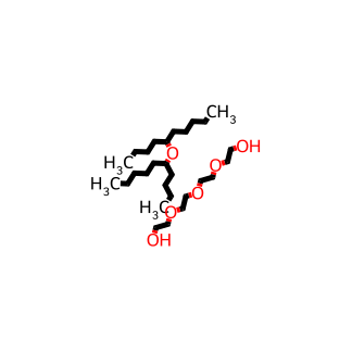 CCCCCC(CCCC)OC(CCCC)CCCCC.OCCOCCOCCOCCO